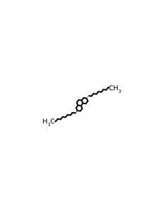 CCCCCCCCCC[C@@H]1CCC2C(CCC3C[C@H](CCCCCCCCCC)CCC32)C1